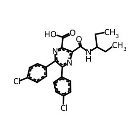 CCC(CC)NC(=O)c1nc(-c2ccc(Cl)cc2)c(-c2ccc(Cl)cc2)nc1C(=O)O